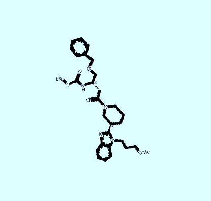 COCCCn1c([C@@H]2CCCN(C(=O)C[C@@H](COCc3ccccc3)NC(=O)OC(C)(C)C)C2)nc2ccccc21